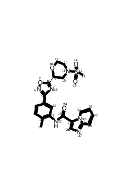 Cc1ccc(-c2noc([C@H]3CN(S(C)(=O)=O)CCO3)n2)cc1NC(=O)c1cnc2ccccn12